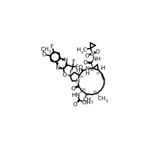 COc1cc2nc(O[C@@H]3C[C@H]4C(=O)N[C@]5(C(=O)NS(=O)(=O)C6(C)CC6)C[C@H]5C=CCC[C@H](C)C[C@@H](C)[C@H](NC(=O)O)C(=O)N4C3)c(C(F)(F)F)nc2cc1F